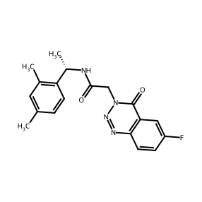 Cc1ccc([C@H](C)NC(=O)Cn2nnc3ccc(F)cc3c2=O)c(C)c1